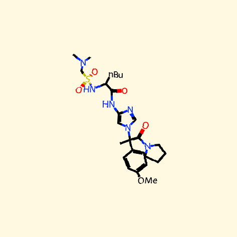 CCCCC(NS(=O)(=O)CN(C)C)C(=O)Nc1cn(C(C)(C(=O)N2CCCC2)c2ccc(OC)cc2)cn1